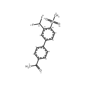 CC(=O)c1ccc(-c2c[c]c(S(C)(=O)=O)c(C(F)F)c2)cc1